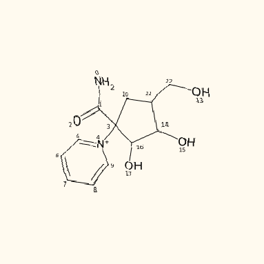 NC(=O)C1([n+]2ccccc2)CC(CO)C(O)C1O